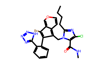 CCCCc1nc(Cl)c(C(=O)NC)n1Cc1c2ccocc-2c(Br)c1-c1ccccc1-c1nnn[nH]1